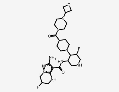 Nc1nn2c(c1C(=O)NC1CNCC(F)C1N1CCC(C(=O)N3CCN(C4COC4)CC3)CC1)NCC(F)C2